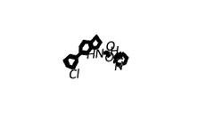 O=C(NC1CCc2ccc(-c3cccc(Cl)c3)cc21)O[C@H]1CN2CCC1CC2